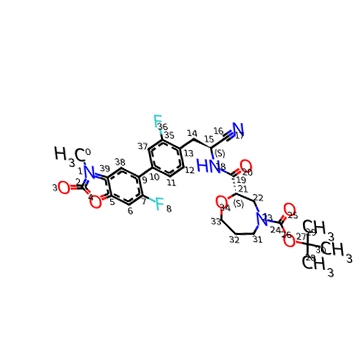 Cn1c(=O)oc2cc(F)c(-c3ccc(C[C@@H](C#N)NC(=O)[C@@H]4CN(C(=O)OC(C)(C)C)CCCO4)c(F)c3)cc21